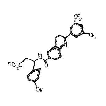 N#Cc1ccc(C(CC(=O)O)NC(=O)c2ccc3nc(-c4cc(C(F)(F)F)cc(C(F)(F)F)c4)ccc3c2)cc1